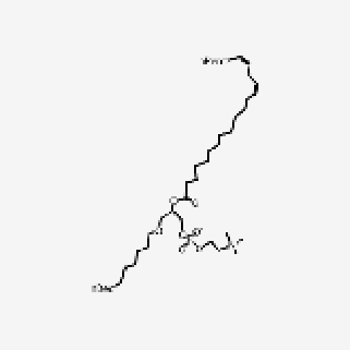 CCCCC/C=C\C/C=C\CCCCCCCCCCCC(=O)O[C@H](COCCCCCCCCCCCCCCCC)COP(=O)([O-])OCC[N+](C)(C)C